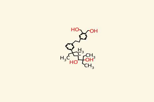 CCC(CC)(CCC(O)C(O)(CC)CC)c1cccc(CCc2ccc(CO)c(CO)c2)c1